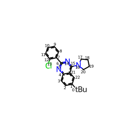 CC(C)(C)c1ccc2nc(-c3ccccc3Cl)nc(N3CCCC3)c2c1